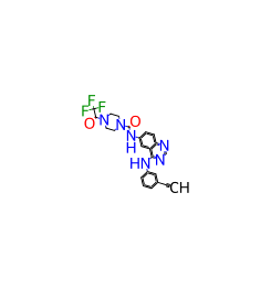 C#Cc1cccc(Nc2ncnc3ccc(NC(=O)N4CCN(C(=O)C(F)(F)F)CC4)cc23)c1